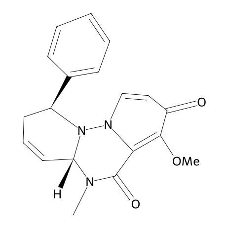 COc1c2n(ccc1=O)N1[C@H](c3ccccc3)CC=C[C@H]1N(C)C2=O